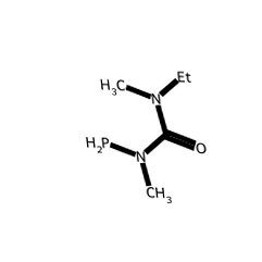 CCN(C)C(=O)N(C)P